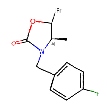 CC(C)C1OC(=O)N(Cc2ccc(F)cc2)[C@@H]1C